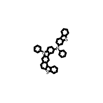 c1ccc(N(c2ccc3c(c2)sc2ccccc23)c2ccc3c(c2)c2cc4c(ccc5sc6ccccc6c54)cc2n3-c2ccccc2)cc1